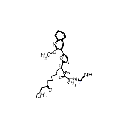 CCC(=O)CCCCC[C@H](NC(=O)C(C)N/C=C\C=N)c1ncc(-c2cc3ccccc3nc2OC)o1